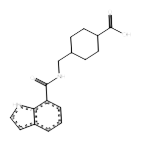 O=C(NCC1CCC(C(=O)O)CC1)c1cccc2cc[nH]c12